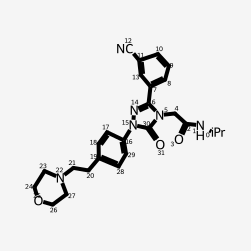 CC(C)NC(=O)Cn1c(-c2cccc(C#N)c2)nn(-c2ccc(CCN3CCOCC3)cc2)c1=O